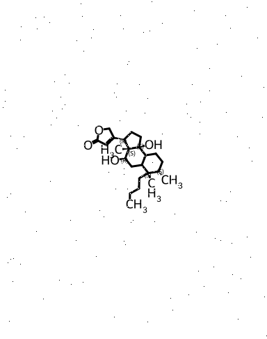 CCCC[C@]1(C)C2C[C@@H](O)[C@]3(C)[C@@H](C4=CC(=O)OC4)CC[C@]3(O)C2CC[C@@H]1C